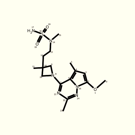 COc1cc(C)c2c(N3CC(C)(CCN(C)S(N)(=O)=O)C3)nc(C)nn12